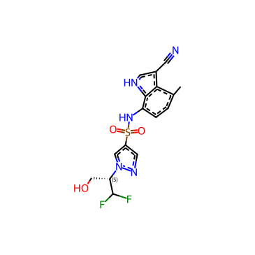 Cc1ccc(NS(=O)(=O)c2cnn([C@@H](CO)C(F)F)c2)c2[nH]cc(C#N)c12